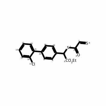 CCOC(=O)C(SC(=O)C=S)c1ccc(-c2ccccc2Cl)cc1